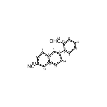 N#Cc1ccc2cc(-c3ccccc3C=O)ccc2c1